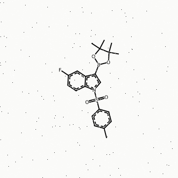 Cc1ccc(S(=O)(=O)n2cc(B3OC(C)(C)C(C)(C)O3)c3cc(F)ccc32)cc1